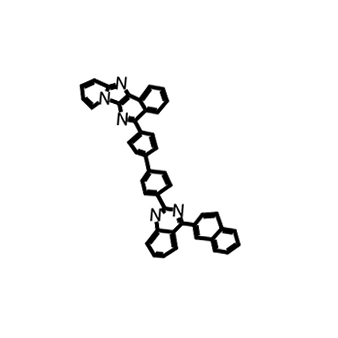 c1ccc2cc(-c3nc(-c4ccc(-c5ccc(-c6nc7c(nc8ccccn87)c7ccccc67)cc5)cc4)nc4ccccc34)ccc2c1